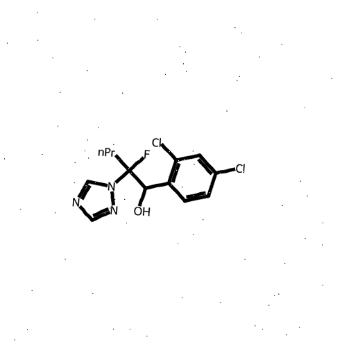 CCCC(F)(C(O)c1ccc(Cl)cc1Cl)n1cncn1